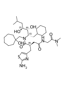 CC(C)C[C@H](O)[C@H](O)[C@H](CC1CCCCC1)N(CC1(O)CCCCCC1)C(=O)[C@@H](CC(=O)NCC(=O)N(C)C)Cc1csc(N)n1